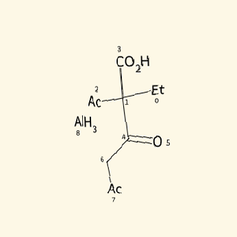 CCC(C(C)=O)(C(=O)O)C(=O)CC(C)=O.[AlH3]